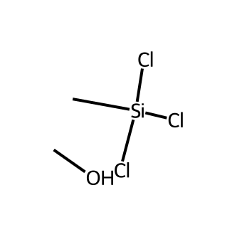 CO.C[Si](Cl)(Cl)Cl